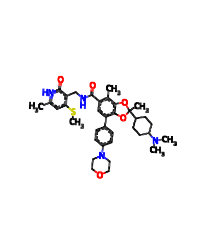 CSc1cc(C)[nH]c(=O)c1CNC(=O)c1cc(-c2ccc(N3CCOCC3)cc2)c2c(c1C)OC(C)(C1CCC(N(C)C)CC1)O2